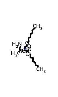 CCCCCCCCOC(=O)/C=C\C(=O)OCCCCCCCC.CN(C)CCN